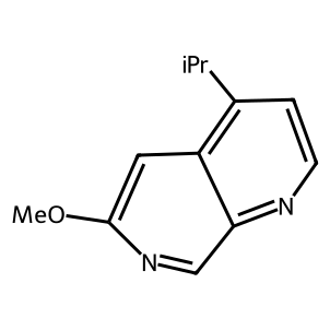 COc1cc2c(C(C)C)ccnc2cn1